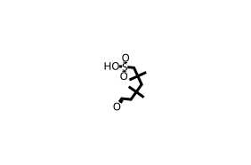 CC(C)(CC=O)CC(C)(C)CS(=O)(=O)O